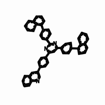 c1ccc2cc(-c3ccc(-c4cc(-c5ccc(-c6cccc7ccccc67)cc5)nc(-c5ccc(-c6cccc7ccccc67)cc5)n4)cc3)cnc2c#1